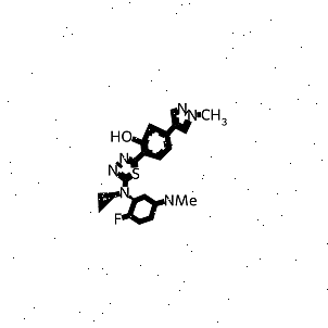 CNC1CCC(F)[C@@H](N(c2nnc(-c3ccc(-c4cnn(C)c4)cc3O)s2)C2CC2)C1